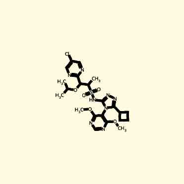 COc1ncnc(OC)c1-n1c(NS(=O)(=O)C(C)C(OC(C)C)c2ncc(Cl)cn2)nnc1C1CCC1